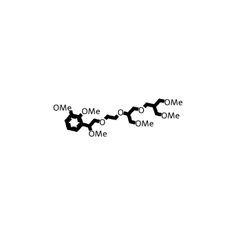 COCC(COC)COCC(COC)OCCOCC(OC)c1cccc(OC)c1OC